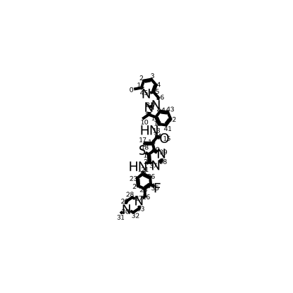 Cc1cccc(Cn2nc(C)c3c(NC(=O)c4csc5c(Nc6ccc(CN7CCN(C)CC7)c(F)c6)ncnc45)cccc32)n1